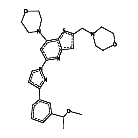 COC(C)c1cccc(-c2ccn(-c3cc(N4CCOCC4)c4sc(CN5CCOCC5)cc4n3)n2)c1